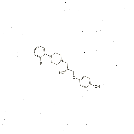 Oc1ccc(OC[C@@H](O)CN2CCN(c3ccccc3F)CC2)cc1